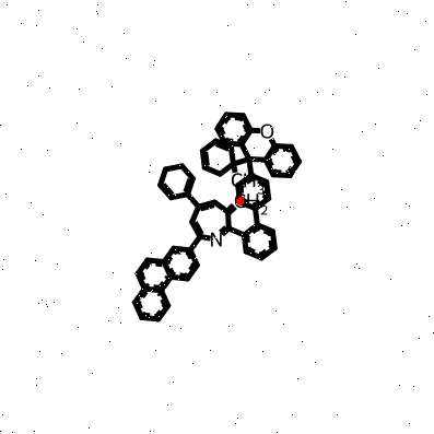 C=C1C=C(C2=CCCC=C2)C=C(c2ccc3c(ccc4ccccc43)c2)N=C1c1ccccc1-c1ccc(C2(C3(C)C=CC=CC3)c3ccccc3Oc3ccccc32)cc1